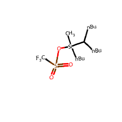 CCCCC(CCCC)[Si](C)(CCCC)OS(=O)(=O)C(F)(F)F